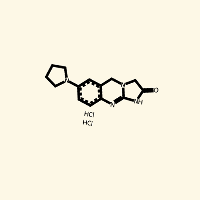 Cl.Cl.O=C1CN2Cc3cc(N4CCCC4)ccc3N=C2N1